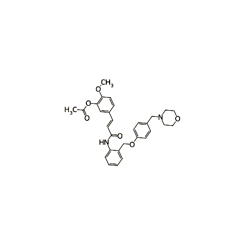 COc1ccc(C=CC(=O)Nc2ccccc2COc2ccc(CN3CCOCC3)cc2)cc1OC(C)=O